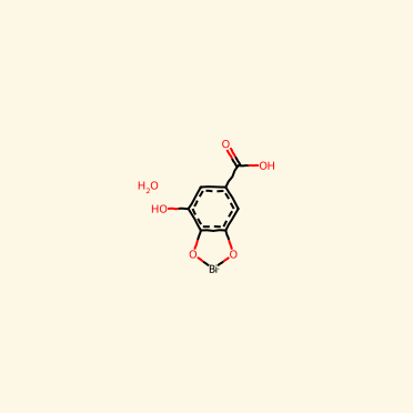 O.O=C(O)c1cc(O)c2c(c1)[O][Bi][O]2